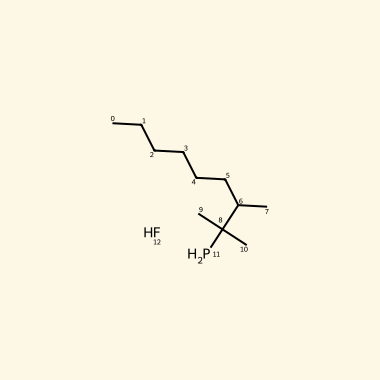 CCCCCCC(C)C(C)(C)P.F